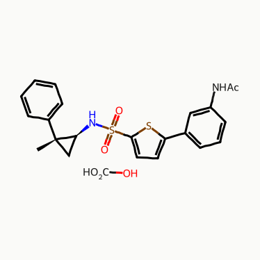 CC(=O)Nc1cccc(-c2ccc(S(=O)(=O)N[C@H]3C[C@]3(C)c3ccccc3)s2)c1.O=C(O)O